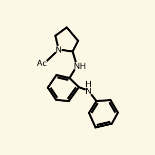 CC(=O)N1CCCC1Nc1ccccc1Nc1ccccc1